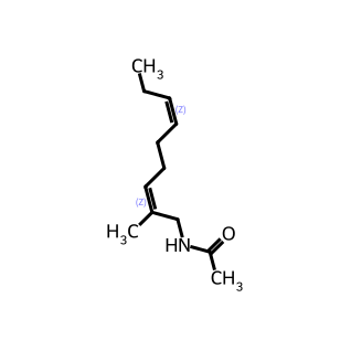 CC/C=C\CC/C=C(/C)CNC(C)=O